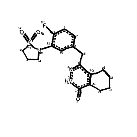 O=c1[nH]nc(Cc2ccc(F)c(N3CCCS3(=O)=O)c2)c2c1CCCC2